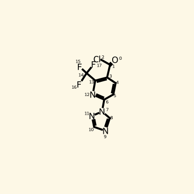 O=C(Cl)c1ccc(-n2cncn2)nc1C(F)(F)F